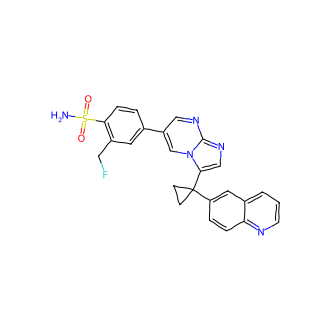 NS(=O)(=O)c1ccc(-c2cnc3ncc(C4(c5ccc6ncccc6c5)CC4)n3c2)cc1CF